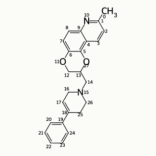 Cc1ccc2c3c(ccc2n1)OCC(CN1CC=C(c2ccccc2)CC1)O3